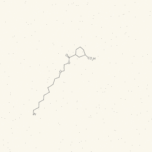 CC(C)CCCCCCCCCCOCCOC(=O)C1CCCC(C(=O)O)C1